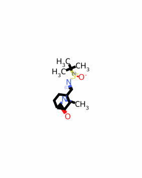 CN1C(=O)C2CCC1(/C=N/[S@+]([O-])C(C)(C)C)CC2